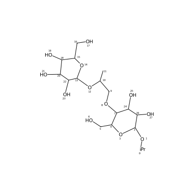 CC(C)OC1OC(CO)C(OCC(C)OC2OC(CO)C(O)C(O)C2O)C(O)C1O